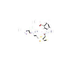 COC(=O)c1c(C)cc(C)c(NC(=O)c2sccc2S(=O)(=O)CC=CNc2onc(C)c2Cl)c1C